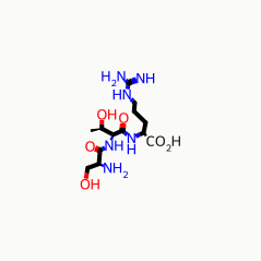 C[C@@H](O)[C@H](NC(=O)[C@@H](N)CO)C(=O)N[C@@H](CCCNC(=N)N)C(=O)O